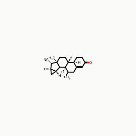 CC1CC2=CC(=O)CC[C@@H]2[C@H]2CC[C@@]3(C)C([C@H]12)[C@@H]1C[C@@H]1[C@@H]3C#N